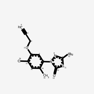 C#CCOc1cc(-n2nc(C(C)(C)C)sc2=O)c(C)cc1Cl